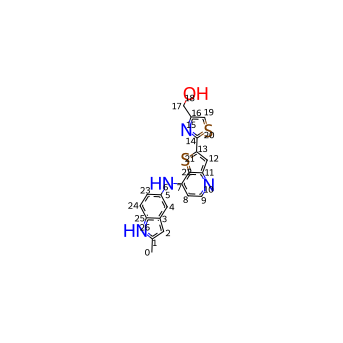 Cc1cc2cc(Nc3ccnc4cc(-c5nc(CO)cs5)sc34)ccc2[nH]1